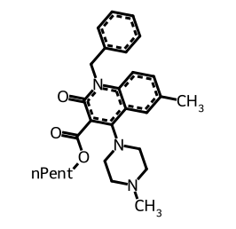 CCCCCOC(=O)c1c(N2CCN(C)CC2)c2cc(C)ccc2n(Cc2ccccc2)c1=O